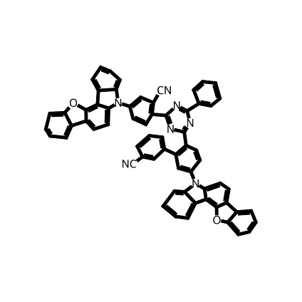 N#Cc1cccc(-c2cc(-n3c4ccccc4c4c5oc6ccccc6c5ccc43)ccc2-c2nc(-c3ccccc3)nc(-c3ccc(-n4c5ccccc5c5c6oc7ccccc7c6ccc54)cc3C#N)n2)c1